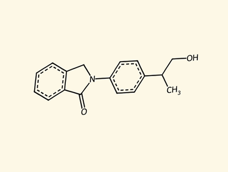 CC(CO)c1ccc(N2Cc3ccccc3C2=O)cc1